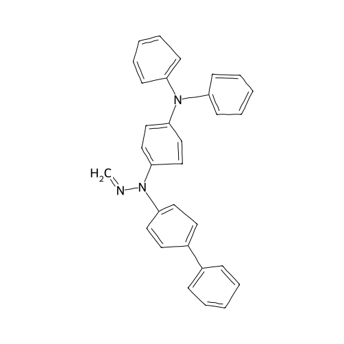 C=NN(c1ccc(-c2ccccc2)cc1)c1ccc(N(c2ccccc2)c2ccccc2)cc1